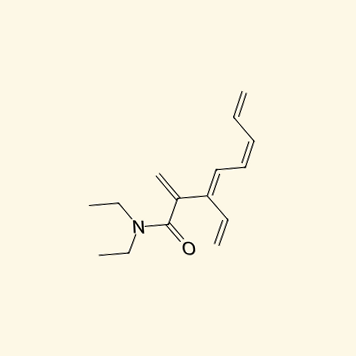 C=C/C=C\C=C(/C=C)C(=C)C(=O)N(CC)CC